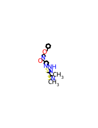 Cc1nc(C)c(-c2csc(Nc3ccc(C(=O)N4CC(OCc5ccccc5)C4)cn3)n2)s1